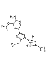 Nc1ncc(-c2cn(C3[C@H]4CN(C5COC5)C[C@@H]34)c(CC3CC3)n2)cc1OC(F)F